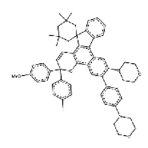 COc1ccc(C2(c3ccc(C)cc3)C=Cc3c4c(c5cc(N6CCOCC6)c(-c6ccc(N7CCOCC7)cc6)cc5c3O2)-c2ccccc2C42CC(C)(C)CC(C)(C)C2)cc1